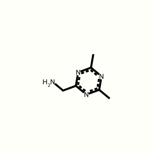 Cc1nc(C)nc(CN)n1